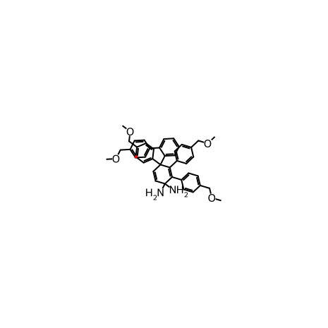 COCc1ccc(C2=C(c3ccc(COC)cc3)C(c3ccc(COC)cc3)(c3ccccc3-c3ccc(COC)cc3)C=CC2(N)N)cc1